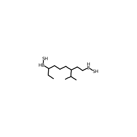 CCC(BS)CCCC(CCBS)C(C)C